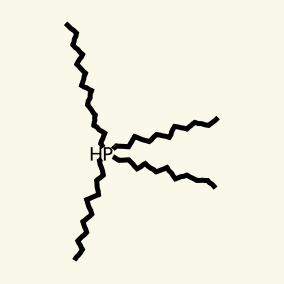 CCCCCCCCCCCCC[PH](CCCCCCCCCCC)(CCCCCCCCCCC)CCCCCCCCCCC